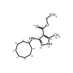 CCOC(=O)c1c(NC2CCCCCCC2)n[nH]c1C